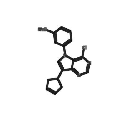 COc1cccc(-n2cc(C3CC=CC3)c3ncnc(Cl)c32)c1